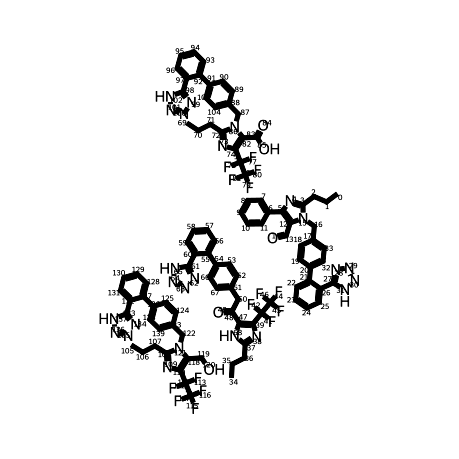 CCCc1nc(-c2ccccc2)c(C=O)n1Cc1ccc(-c2ccccc2-c2nnn[nH]2)cc1.CCCc1nc(C(F)(F)C(F)(F)F)c(C(=O)Cc2ccc(-c3ccccc3-c3nnn[nH]3)cc2)[nH]1.CCCc1nc(C(F)(F)C(F)(F)F)c(C(=O)O)n1Cc1ccc(-c2ccccc2-c2nnn[nH]2)cc1.CCCc1nc(C(F)(F)C(F)(F)F)c(CO)n1Cc1ccc(-c2ccccc2-c2nnn[nH]2)cc1